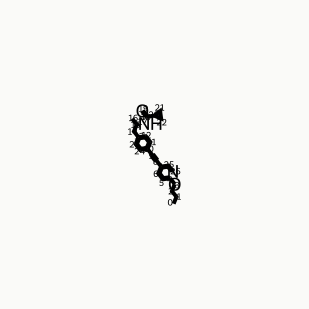 CCCOc1ccc(C#Cc2ccc(CC(C)NC(=O)C3CC3)cc2)cn1